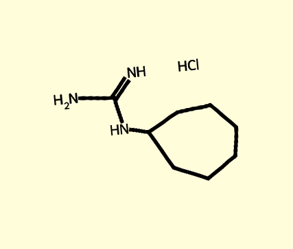 Cl.N=C(N)NC1CCCCCC1